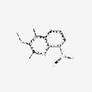 COc1c(F)nc2c([N+](=O)[O-])cccc2c1F